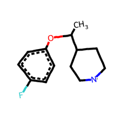 CC(Oc1ccc(F)cc1)C1CC[N]CC1